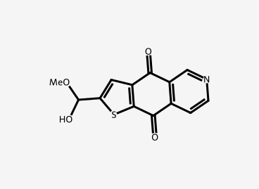 COC(O)c1cc2c(s1)C(=O)c1ccncc1C2=O